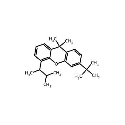 CC(C)C(C)c1cccc2c1Oc1cc(C(C)(C)C)ccc1C2(C)C